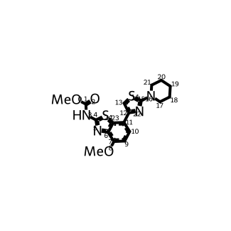 COC(=O)Nc1nc2c(OC)ccc(-c3csc(N4CCCCC4)n3)c2s1